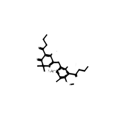 CCCC(=O)C1=C(O)C(Cc2c(O)c(C)c(OC)c(C(=O)CCC)c2O)=C(O)C(C)(C)C1=O